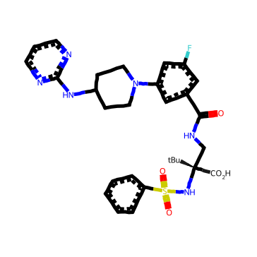 CC(C)(C)[C@](CNC(=O)c1cc(F)cc(N2CCC(Nc3ncccn3)CC2)c1)(NS(=O)(=O)c1ccccc1)C(=O)O